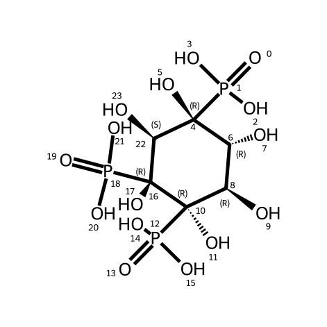 O=P(O)(O)[C@]1(O)[C@H](O)[C@@H](O)[C@@](O)(P(=O)(O)O)[C@](O)(P(=O)(O)O)[C@H]1O